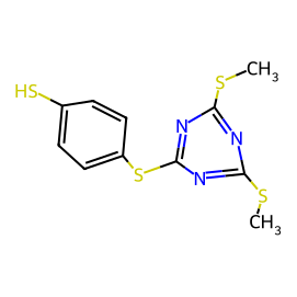 CSc1nc(SC)nc(Sc2ccc(S)cc2)n1